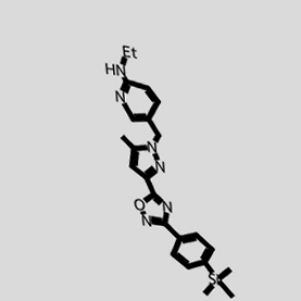 CCNc1ccc(Cn2nc(-c3nc(-c4ccc([Si](C)(C)C)cc4)no3)cc2C)cn1